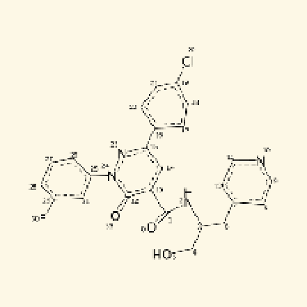 O=C(NC(CO)Cc1ccncc1)c1cc(-c2ccc(Cl)cc2)nn(-c2cccc(F)c2)c1=O